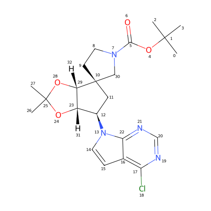 CC(C)(C)OC(=O)N1CC[C@]2(C[C@@H](n3ccc4c(Cl)ncnc43)[C@@H]3OC(C)(C)O[C@@H]32)C1